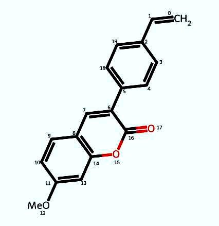 C=Cc1ccc(-c2cc3ccc(OC)cc3oc2=O)cc1